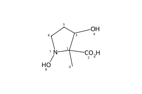 CC1(C(=O)O)C(O)CCN1O